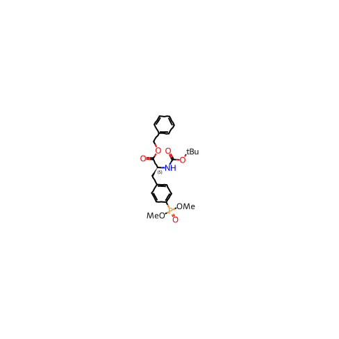 COP(=O)(OC)c1ccc(C[C@H](NC(=O)OC(C)(C)C)C(=O)OCc2ccccc2)cc1